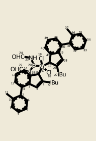 CCC(C)C1=Cc2c(-c3ccccc3C)cccc2[CH]1[Zr]([Cl])([Cl])([B](NC=O)NC=O)[CH]1C(C(C)CC)=Cc2c(-c3ccccc3C)cccc21